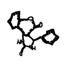 O=C1Nc2c(c(=O)oc3ccccc23)C(c2ccccc2)N1